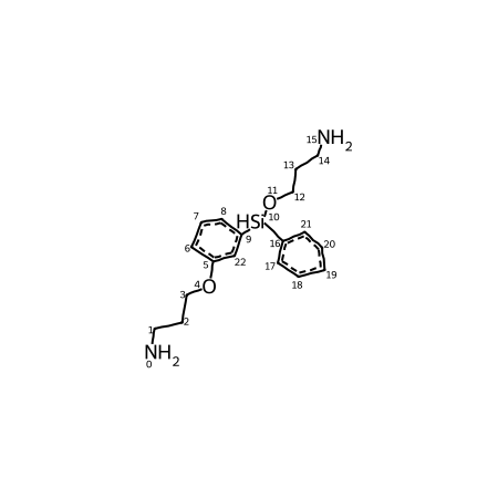 NCCCOc1cccc([SiH](OCCCN)c2ccccc2)c1